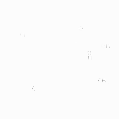 CCCCCCl.O=C(NO)c1cccc(Cl)c1